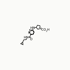 O=C(NCCC1CC1)c1ccc(NC2CCN(C(=O)O)C2)nn1